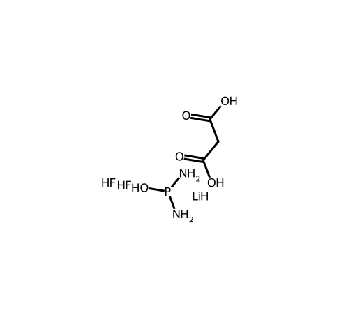 F.F.NP(N)O.O=C(O)CC(=O)O.[LiH]